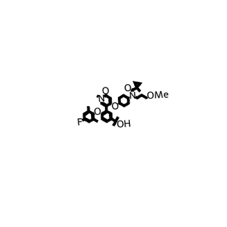 COCCCN(C(=O)C1(C)CC1)[C@H]1CC[C@H](Oc2cc(=O)n(C)cc2-c2cc(C(C)(C)O)ccc2Oc2c(C)cc(F)cc2C)CC1